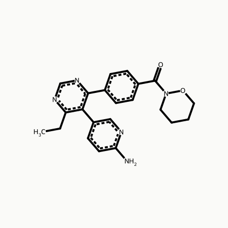 CCc1ncnc(-c2ccc(C(=O)N3CCCCO3)cc2)c1-c1ccc(N)nc1